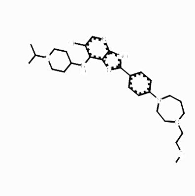 COCCN1CCCN(c2ccc(-c3nc4c(NC5CCN(C(C)C)CC5)c(Cl)cnc4[nH]3)cc2)CC1